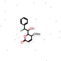 COC1C=CC(=O)OC1C(O)C(F)c1ccccc1